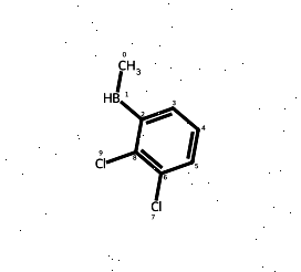 CBc1cccc(Cl)c1Cl